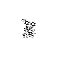 CCC(=O)Nc1cn(CC(OC)OC)c(C(=O)NCc2cccc(Cl)c2)c(OCc2ccccc2)c1=O